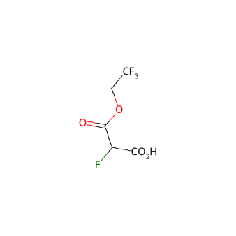 O=C(O)C(F)C(=O)OCC(F)(F)F